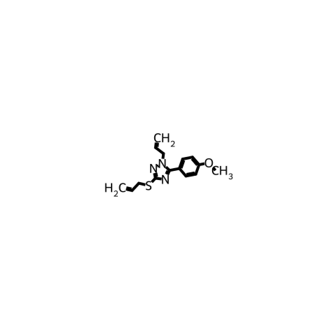 C=CCSc1nc(-c2ccc(OC)cc2)n(CC=C)n1